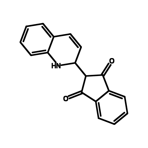 O=C1c2ccccc2C(=O)C1C1C=Cc2ccccc2N1